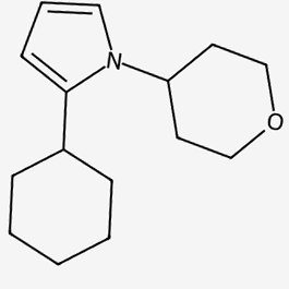 c1cc(C2CCCCC2)n(C2CCOCC2)c1